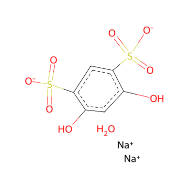 O.O=S(=O)([O-])c1cc(S(=O)(=O)[O-])c(O)cc1O.[Na+].[Na+]